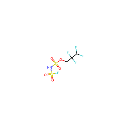 O=S(=O)(F)NS(=O)(=O)OCC(F)(F)C(F)F